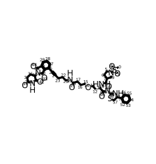 CS(=O)(=O)N1CCC(C(=O)N[C@@H](CCOCCCC(=O)NCCCC#Cc2cccc3c2C(=O)N(C2CCC(=O)NC2=O)C3=O)C(=O)NC2NC(c3ccccc3)CS2)C1